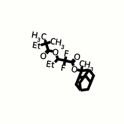 CCC(OC(=O)C(C)(C)CC)C(F)(F)C(=O)OC1(C)C2CC3CC(C2)CC1C3